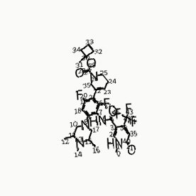 CN/C=C(C(=O)Nc1c(N2CC(C)N(C)C(C)C2)cc(F)c(C2=CCCN(C(=O)OC3(C)CCC3)C2)c1F)\C(=C/C=O)C(F)(F)F